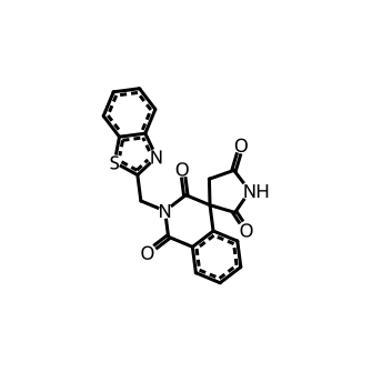 O=C1CC2(C(=O)N1)C(=O)N(Cc1nc3ccccc3s1)C(=O)c1ccccc12